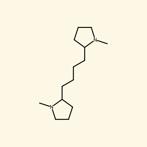 CN1CCCC1CCCCC1CCCN1C